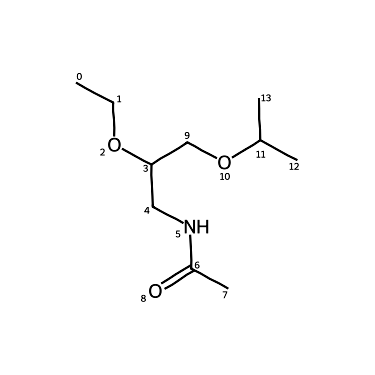 CCOC(CNC(C)=O)COC(C)C